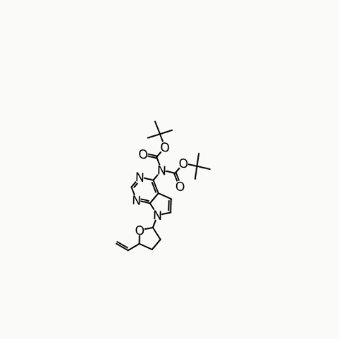 C=CC1CCC(n2ccc3c(N(C(=O)OC(C)(C)C)C(=O)OC(C)(C)C)ncnc32)O1